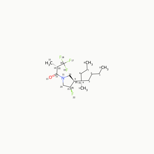 CCCC[C@](C)(CCC)[C@@H]1CN(C(=O)[C@H](C)C(F)(F)F)C[C@@H]1F